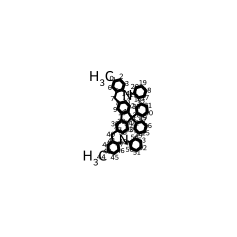 Cc1ccc2c(c1)Cc1cc3c(cc1N2c1ccccc1)C(c1ccccc1)(c1ccccc1)c1cc2c(cc1-3)Cc1cc(C)ccc1N2c1ccccc1